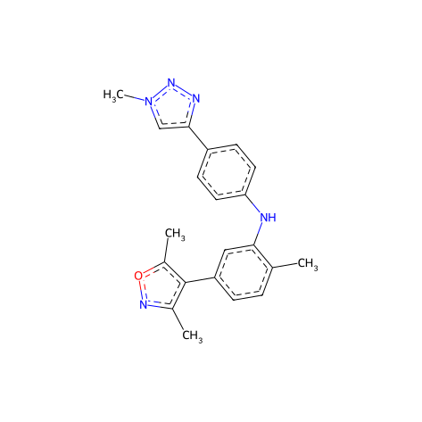 Cc1ccc(-c2c(C)noc2C)cc1Nc1ccc(-c2cn(C)nn2)cc1